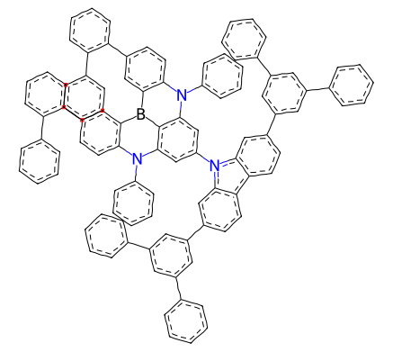 c1ccc(-c2cc(-c3ccccc3)cc(-c3ccc4c5ccc(-c6cc(-c7ccccc7)cc(-c7ccccc7)c6)cc5n(-c5cc6c7c(c5)N(c5ccccc5)c5ccc(-c8ccccc8-c8ccccc8)cc5B7c5cc(-c7ccccc7-c7ccccc7)ccc5N6c5ccccc5)c4c3)c2)cc1